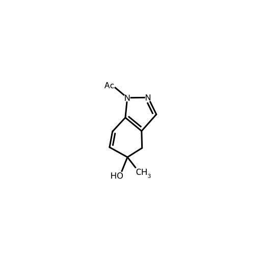 CC(=O)n1ncc2c1C=CC(C)(O)C2